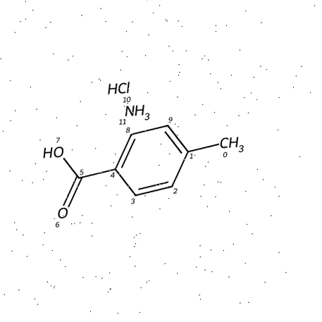 Cc1ccc(C(=O)O)cc1.Cl.N